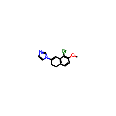 COc1ccc2c(c1Br)C=C(n1ccnc1)CC2